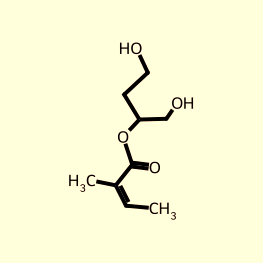 CC=C(C)C(=O)OC(CO)CCO